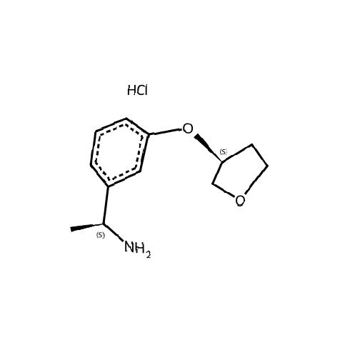 C[C@H](N)c1cccc(O[C@H]2CCOC2)c1.Cl